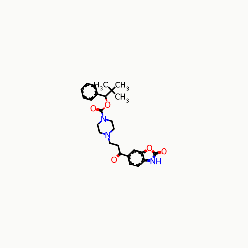 CC(C)(C)C(OC(=O)N1CCN(CCC(=O)c2ccc3[nH]c(=O)oc3c2)CC1)c1ccccc1